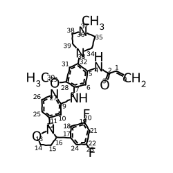 C=CC(=O)Nc1cc(Nc2cc(N3OCCC3c3cc(F)cc(F)c3)ccn2)c(OC)cc1N1CCN(C)CC1